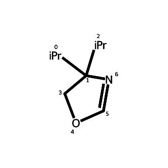 CC(C)C1(C(C)C)COC=N1